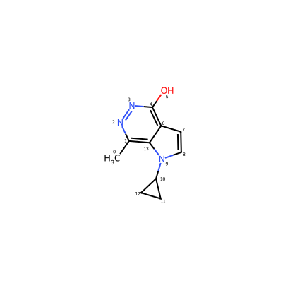 Cc1nnc(O)c2ccn(C3CC3)c12